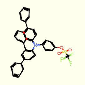 O=S(=O)(Oc1ccc(N(c2ccc(-c3ccccc3)cc2)c2ccc(-c3ccccc3)cc2-c2ccccc2)cc1)C(F)(F)F